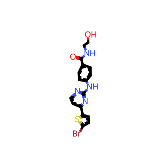 O=C(NCCO)c1ccc(Nc2nccc(-c3ccc(Br)s3)n2)cc1